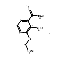 COCOc1cccc(C(=O)OC)c1C=O